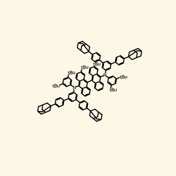 CC(C)(C)c1cc(N(c2cc(-c3ccc(C45CC6CC(CC(C6)C4)C5)cc3)cc(-c3ccc(C45CC6CC(CC(C6)C4)C5)cc3)c2)c2c3ccccc3c(-c3c4ccccc4c(N(c4cc(-c5ccc(C67CC8CC(CC(C8)C6)C7)cc5)cc(-c5ccc(C67CC8CC(CC(C8)C6)C7)cc5)c4)c4cc(C(C)(C)C)cc(C(C)(C)C)c4)c4cc(C(C)(C)C)ccc34)c3cc(C(C)(C)C)ccc23)cc(C(C)(C)C)c1